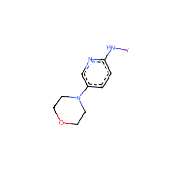 INc1ccc(N2CCOCC2)cn1